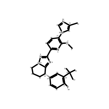 COc1nc(-c2nc3n(n2)CCC[C@H]3c2ccc(F)c(C(C)(C)C)c2)ccc1-n1cnc(C)c1